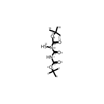 CC(C)(C)OC(=O)NC(=O)N(S)C(=O)OC(C)(C)C